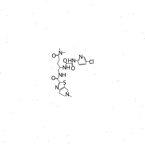 CN1CCc2nc(C(=O)NCC(CCC(=O)N(C)C)NC(=O)C(=O)Nc3ccc(Cl)cn3)sc2C1